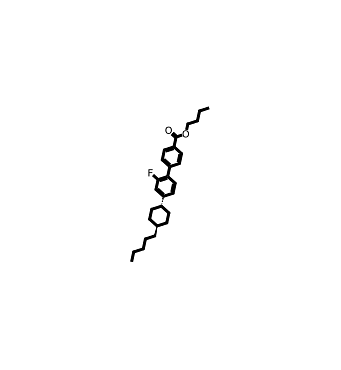 CCCCC[C@H]1CC[C@H](c2ccc(-c3ccc(C(=O)OCCCC)cc3)c(F)c2)CC1